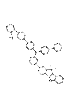 CC1(C)c2ccccc2-c2ccc(-c3ccc(N(c4ccc(-c5ccccc5)cc4)c4cccc(-c5ccc6c(c5)C(C)(C)c5c-6oc6ccccc56)c4)cc3)cc21